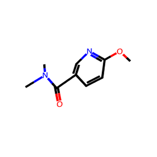 COc1ccc(C(=O)N(C)C)cn1